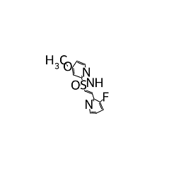 COc1ccnc(S(=N)(=O)/C=C/c2ncccc2F)c1